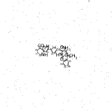 Cc1noc(-c2ccc(-c3ccc4c(c3)NCCCC4C(=O)O)cc2)c1NC(=O)OC(C)c1ccccc1